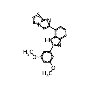 COc1cc(OC)cc(-c2nc3cccc(-c4cn5ccsc5n4)c3[nH]2)c1